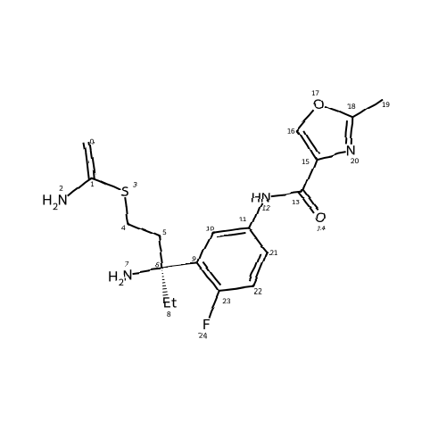 C=C(N)SCC[C@@](N)(CC)c1cc(NC(=O)c2coc(C)n2)ccc1F